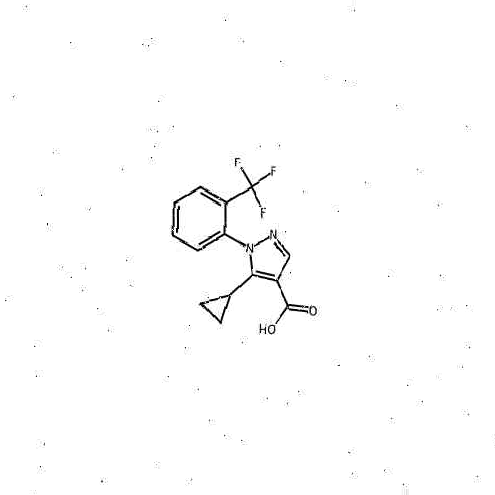 O=C(O)c1cnn(-c2ccccc2C(F)(F)F)c1C1CC1